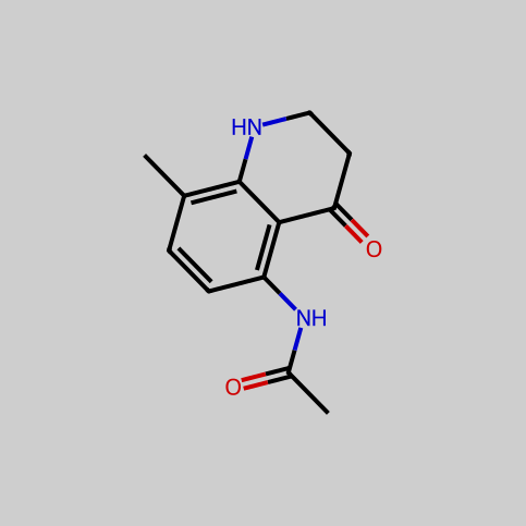 CC(=O)Nc1ccc(C)c2c1C(=O)CCN2